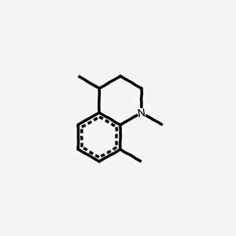 Cc1cccc2c1N(C)CCC2C